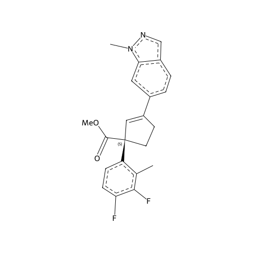 COC(=O)[C@]1(c2ccc(F)c(F)c2C)C=C(c2ccc3cnn(C)c3c2)CC1